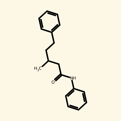 CC(CCc1ccccc1)CC(=O)Nc1ccccc1